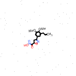 C=CCc1cc(C2=NOC(C(=O)NO)C2)cc(OC)c1OC